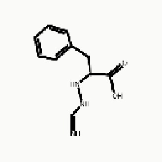 N=CNN[C@@H](Cc1ccccc1)C(=O)O